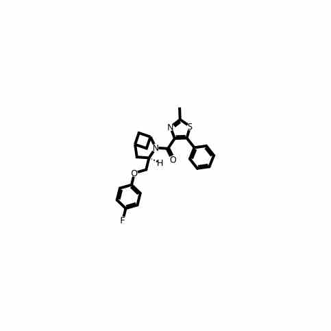 Cc1nc(C(=O)N2C3CC(C3)C[C@@H]2COc2ccc(F)cc2)c(-c2ccccc2)s1